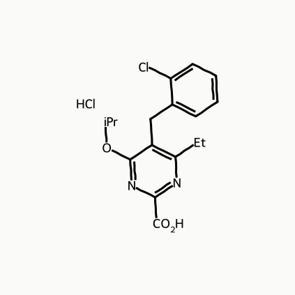 CCc1nc(C(=O)O)nc(OC(C)C)c1Cc1ccccc1Cl.Cl